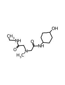 CCNC(=O)CN(C)CC(=O)NC1CCC(O)CC1